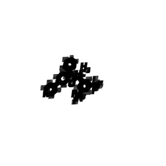 CC(C(=O)NC1(c2ccccc2)CCC(c2ccncc2)CC1)c1cc(C(F)(F)F)cc(C(F)(F)F)c1